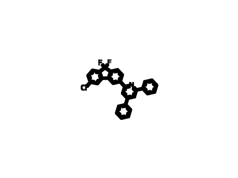 FC1(F)c2ccc(Cl)cc2-c2cc(-c3cc(-c4ccccc4)cc(-c4ccccc4)n3)ccc21